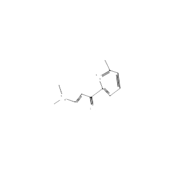 Cc1cccc(C(=O)C=CN(C)C)n1